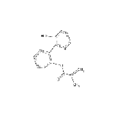 C=C(C)C(=O)Oc1cccnc1-c1ncccc1O